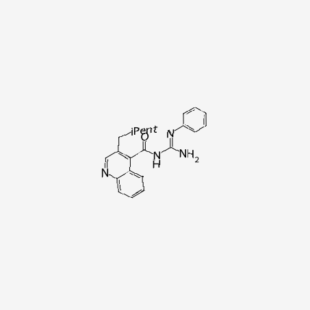 CCCC(C)Cc1cnc2ccccc2c1C(=O)NC(N)=Nc1ccccc1